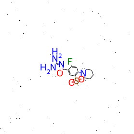 CS(=O)(=O)c1cc(C(=O)N=C(N)N)c(F)cc1N1CCCCC1